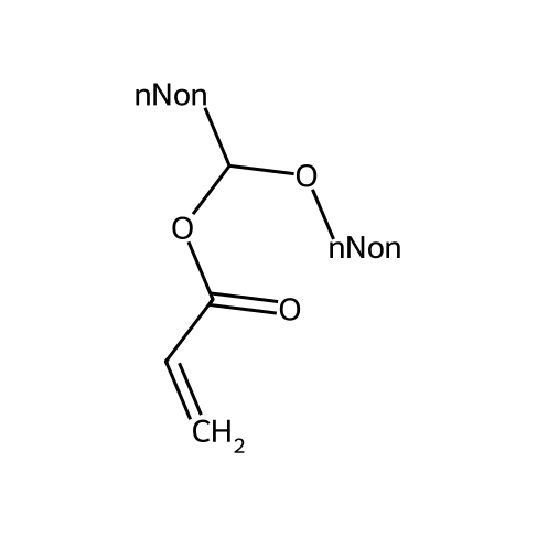 C=CC(=O)OC(CCCCCCCCC)OCCCCCCCCC